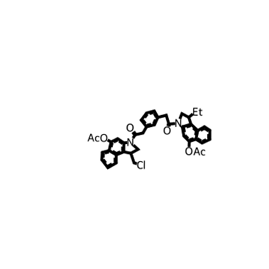 CCC1CN(C(=O)Cc2cccc(CC(=O)N3CC(CCl)c4c3cc(OC(C)=O)c3ccccc43)c2)c2cc(OC(C)=O)c3ccccc3c21